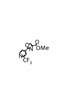 COC(=O)c1coc(-c2ccnc(C(F)(F)F)c2)n1